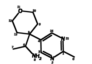 Cc1ncc(C2(C(C)N)CCOCC2)cn1